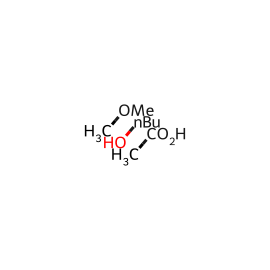 CC(=O)O.CCCCO.COC